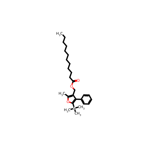 CCCCCCCCCCCC(=O)OCc1c(C)oc([Si](C)(C)C)c1-c1ccccc1